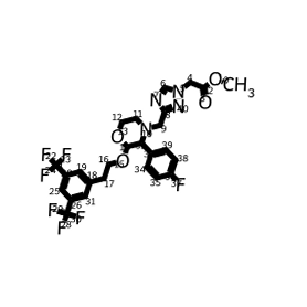 COC(=O)Cn1cnc(CN2CCOC(OCCc3cc(C(F)(F)F)cc(C(F)(F)F)c3)C2c2ccc(F)cc2)n1